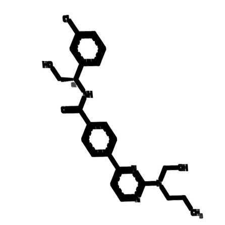 CCCN(CO)c1nccc(-c2ccc(C(=O)N[C@H](CO)c3cccc(Cl)c3)cc2)n1